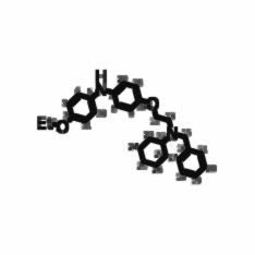 CCOc1ccc(Nc2ccc(OCCN(Cc3ccccc3)C3CCCCC3)cc2)cc1